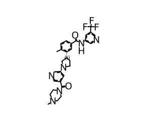 Cc1ccc(C(=O)Nc2cncc(C(F)(F)F)c2)cc1[C@@H]1CCN(c2cncc(C(=O)N3CCN(C)CC3)c2)C1